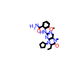 CCC1C(=O)N(C)c2cnc(Nc3c(OC)cccc3C(N)=O)nc2N1C1CCCC1